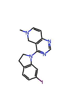 CN1C=Cc2ncnc(N3CCc4ccc(I)cc43)c2C1